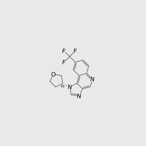 FC(F)(F)c1ccc2ncc3ncn([C@@H]4CCOC4)c3c2c1